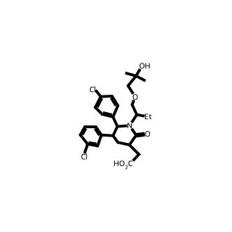 CCC(COCC(C)(C)O)N1C(=O)C(CC(=O)O)CC(c2cccc(Cl)c2)C1c1ccc(Cl)cc1